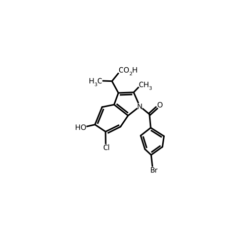 Cc1c(C(C)C(=O)O)c2cc(O)c(Cl)cc2n1C(=O)c1ccc(Br)cc1